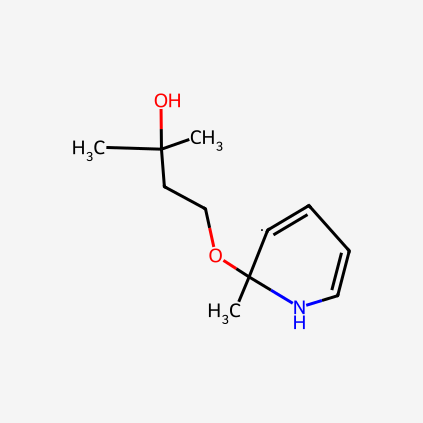 CC(C)(O)CCOC1(C)[C]=CC=CN1